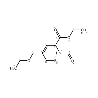 CCOCC(=CC(NC=O)C(=O)OCC)CBr